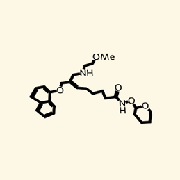 COCCNCC(=CCCCCC(=O)NOC1CCCCO1)COc1cccc2ccccc12